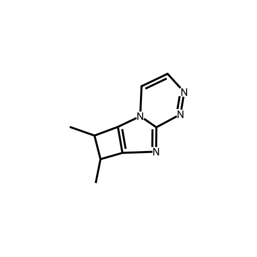 CC1c2nc3nnccn3c2C1C